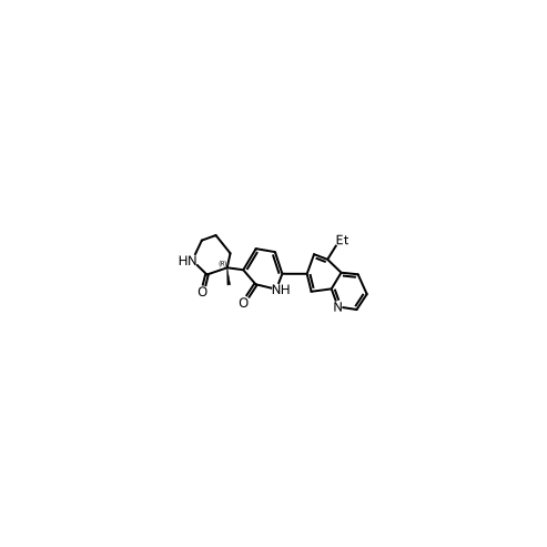 CCc1cc(-c2ccc([C@@]3(C)CCCNC3=O)c(=O)[nH]2)cc2ncccc12